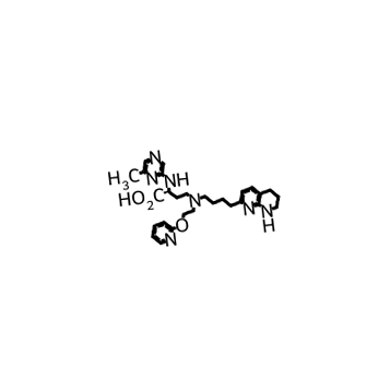 Cc1cncc(N[C@@H](CCN(CCCCc2ccc3c(n2)NCCC3)CCOc2ccccn2)C(=O)O)n1